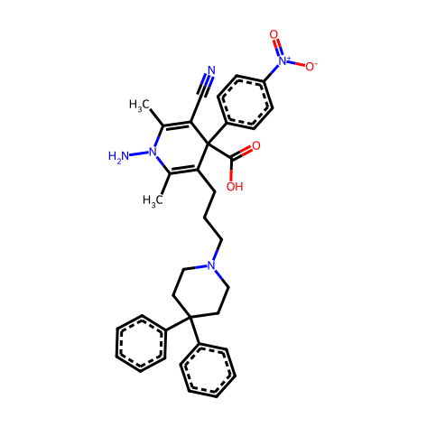 CC1=C(C#N)C(C(=O)O)(c2ccc([N+](=O)[O-])cc2)C(CCCN2CCC(c3ccccc3)(c3ccccc3)CC2)=C(C)N1N